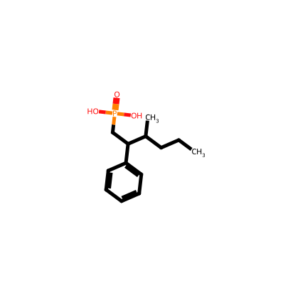 CCCC(C)C(CP(=O)(O)O)c1ccccc1